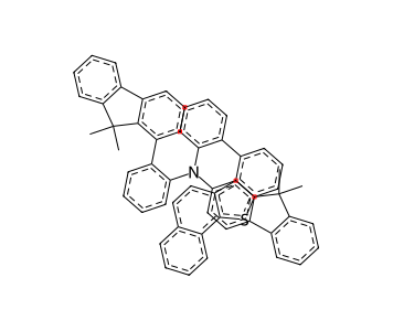 CC1(C)c2ccccc2-c2ccc(N(c3ccccc3-c3cccc4c3C(C)(C)c3ccccc3-4)c3ccccc3-c3cccc4sc5c6ccccc6ccc5c34)cc21